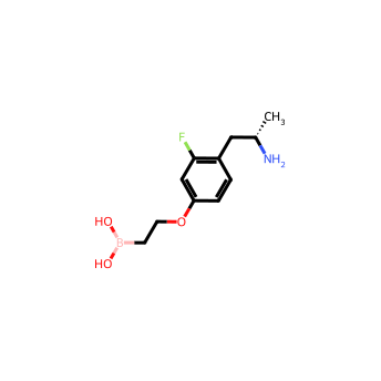 C[C@H](N)Cc1ccc(OCCB(O)O)cc1F